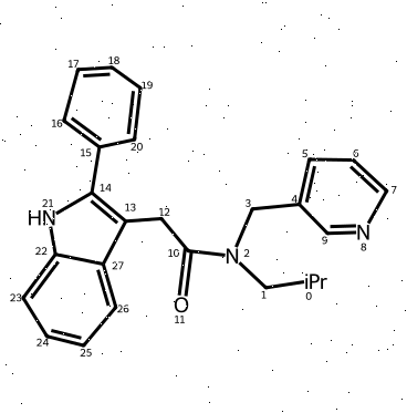 CC(C)CN(Cc1cccnc1)C(=O)Cc1c(-c2ccccc2)[nH]c2ccccc12